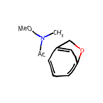 CON(C)C(C)=O.c1cc2cc(c1)OC2